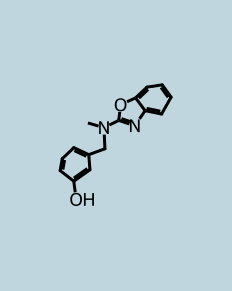 CN(Cc1cccc(O)c1)c1nc2ccccc2o1